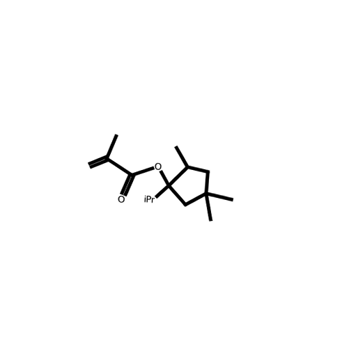 C=C(C)C(=O)OC1(C(C)C)CC(C)(C)CC1C